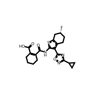 O=C(O)C1=C(C(=O)Nc2sc3c(c2-c2nc(C4CC4)no2)CC[C@@H](F)C3)CCCC1